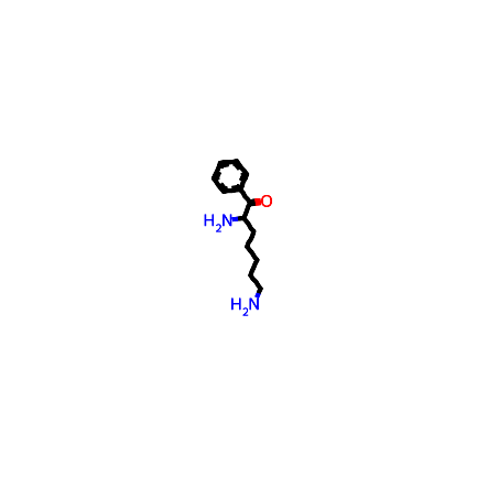 NCCCCCC(N)C(=O)c1ccccc1